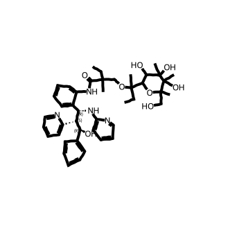 CCC(C)(COC(C)(CC)C1OC(C)(CO)C(C)(O)C(C)(O)C1O)C(=O)Nc1ccccc1[C@H](Nc1ccccn1)[C@@H](c1ccccn1)[C@@H](O)c1ccccc1